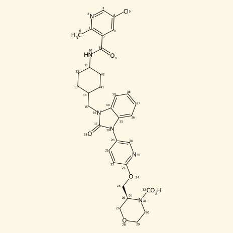 Cc1ncc(Cl)cc1C(=O)NC1CCC(Cn2c(=O)n(-c3ccc(OC[C@@H]4COCCN4C(=O)O)nc3)c3ccccc32)CC1